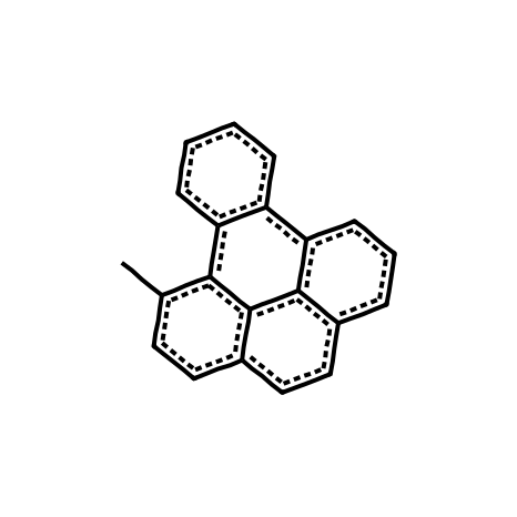 Cc1ccc2ccc3cccc4c5ccccc5c1c2c34